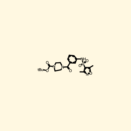 Cc1noc(C)c1S(=O)(=O)Nc1cccc(C(=O)N2CCN(C(=O)OC(C)(C)C)CC2)c1